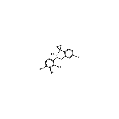 CC(C)c1ccc(CCc2cc(Br)ccc2C2(C(=O)O)CC2)c(C(C)C)c1C(C)C